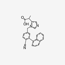 CC(C(=O)O)c1cncn1Cc1ccc(C#N)c(-c2cccc3ccccc23)c1